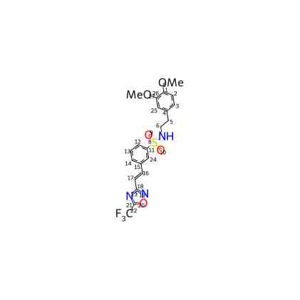 COc1ccc(CCNS(=O)(=O)c2cccc(/C=C/c3noc(C(F)(F)F)n3)c2)cc1OC